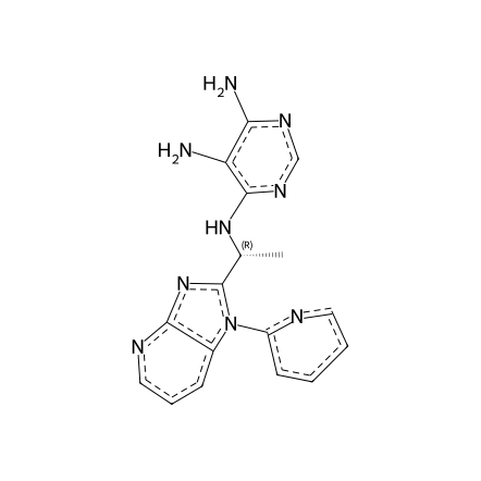 C[C@@H](Nc1ncnc(N)c1N)c1nc2ncccc2n1-c1ccccn1